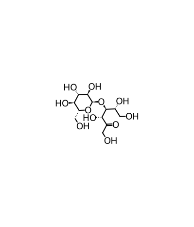 O=C(CO)[C@H](O)[C@@H](O[C@H]1O[C@H](CO)[C@@H](O)[C@H](O)[C@H]1O)[C@H](O)CO